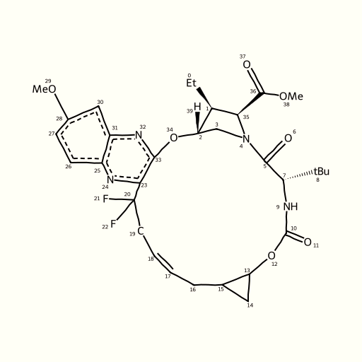 CC[C@@H]1[C@@H]2CN(C(=O)[C@H](C(C)(C)C)NC(=O)OC3CC3CC=CCC(F)(F)c3nc4ccc(OC)cc4nc3O2)[C@@H]1C(=O)OC